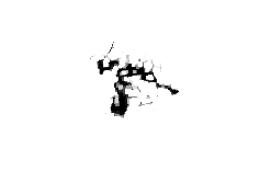 CSc1cc(C)[nH]c(=O)c1CNc1cc(-c2ccc(N3CC(C)OC(C)C3)nc2)c2c(c1C)OC(C)(C1CCC(N(C)CC3OCCO3)CC1)O2